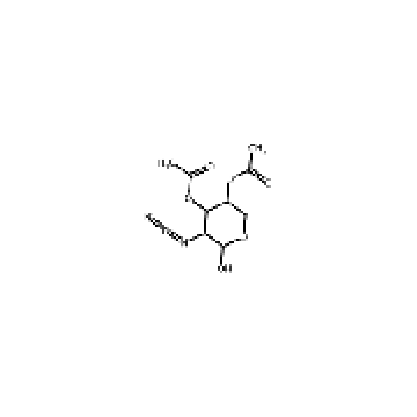 CC(=O)OC1COC(O)C(N=[N+]=[N-])C1OC(C)=O